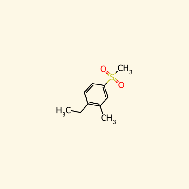 CCc1ccc(S(C)(=O)=O)cc1C